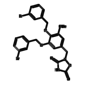 COc1cc(Cn2oc(=O)[nH]c2=O)cc(OCc2cccc(Br)c2)c1OCc1cccc(Br)c1